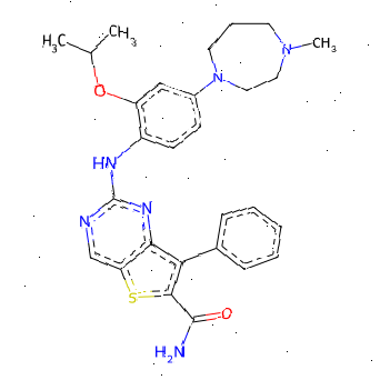 CC(C)Oc1cc(N2CCCN(C)CC2)ccc1Nc1ncc2sc(C(N)=O)c(-c3ccccc3)c2n1